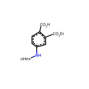 CCCCCCNc1ccc(C(=O)O)c(C(=O)OCC)c1